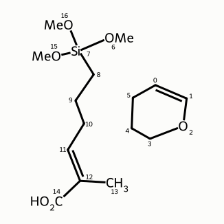 C1=COCCC1.CO[Si](CCCC=C(C)C(=O)O)(OC)OC